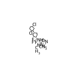 CC(C)C[C@H](N[C@H](c1ccc2c(c1)oc1ccc(Cl)cc12)C(F)(F)F)C(=O)NC1(C#N)CC1